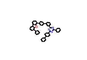 c1ccc(-c2ccc(-c3nc(-c4ccccc4)nc(-c4cccc(-c5ccc(-c6cccc7c6oc6c(-c8ccccc8)cccc67)cc5)c4)n3)cc2)cc1